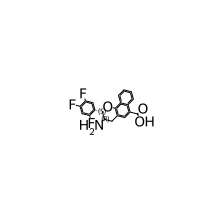 N[C@@H]1Cc2cc(C(=O)O)c3ccccc3c2O[C@H]1c1cc(F)c(F)cc1F